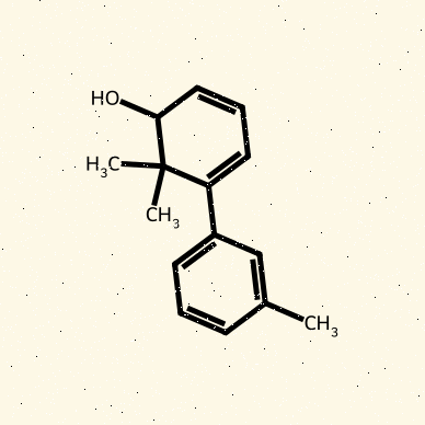 Cc1cccc(C2=CC=CC(O)C2(C)C)c1